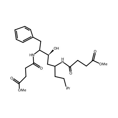 COC(=O)CCC(=O)NC(CCC(C)C)C[C@H](O)C(Cc1ccccc1)NC(=O)CCC(=O)OC